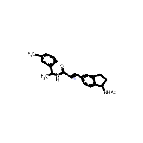 CC(=O)NC1CCc2cc(/C=C/C(=O)NC(c3cccc(C(F)(F)F)c3)C(F)(F)F)ccc21